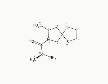 C[C@H](N)C(=O)N1CC2(CC1C(=O)O)SCCS2